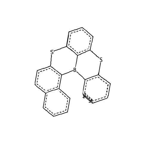 c1cc2c3c(c1)Sc1ccc4ccccc4c1B3c1c(ccc3ccccc13)S2